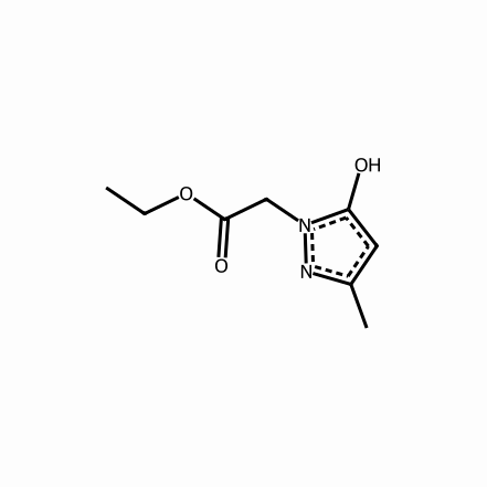 CCOC(=O)Cn1nc(C)cc1O